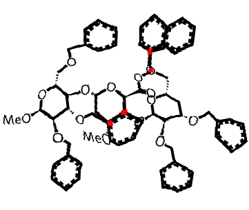 CO[C@H]1O[C@H](COCc2ccccc2)[C@@H](O[C@H]2C[C@@H](OC)[C@H](O[C@H]3O[C@H](COCc4ccccc4)C[C@H](OCc4ccccc4)[C@H]3OCc3ccccc3)[C@H](C(=O)OCc3ccccc3)O2)[C@H](OCc2ccccc2)[C@H]1OCc1ccccc1